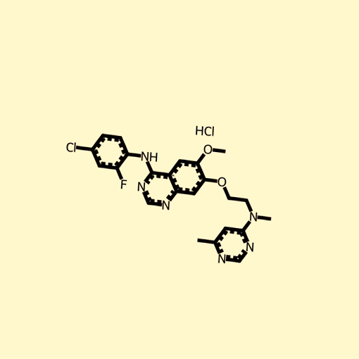 COc1cc2c(Nc3ccc(Cl)cc3F)ncnc2cc1OCCN(C)c1cc(C)ncn1.Cl